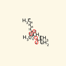 C=C(C)C(=O)OCC(C)(C)OC(=O)CCCCC